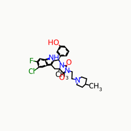 CC1CCN(CCN2C(=O)N3[C@H](c4cccc(O)c4)c4[nH]c5cc(F)c(Cl)cc5c4C[C@@]3(C)C2=O)CC1